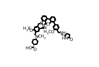 COc1cc(-c2cccc(-c3cccc4c3cnn4Cc3cc(OC)c(CN(C)[C@H]4CC[C@H](C(=O)O)CC4)cc3C#N)c2Cl)ccc1CNC[C@@H]1CCC(=O)N1